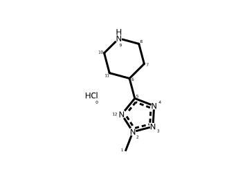 Cl.Cn1nnc(C2CCNCC2)n1